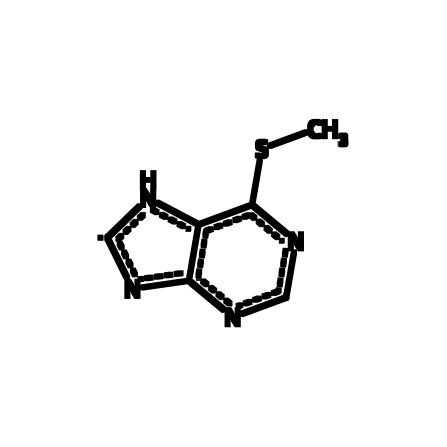 CSc1ncnc2n[c][nH]c12